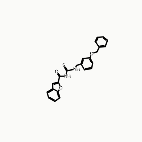 O=C(NC(=S)NCc1cccc(OCc2ccccc2)c1)c1cc2ccccc2o1